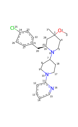 COC1(C)CCN(C2CCN(c3ccccn3)CC2)[C@@H](Cc2ccc(Cl)cc2)C1